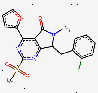 CN1C(=O)c2c(-c3ccco3)nc(S(C)(=O)=O)nc2C1Cc1ccccc1F